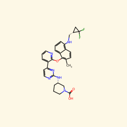 Cc1ccc2c(NC[C@@H]3CC3(F)F)cccc2c1Oc1ncccc1-c1ccnc(N[C@H]2CCCN(C(=O)O)C2)n1